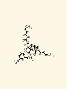 C=C1N=C(N)C=CN1[C@@H]1O[C@@](COC(=O)CCCCC)(N=[N+]=[N-])[C@@H](OC(=O)CCCCC)[C@H]1F